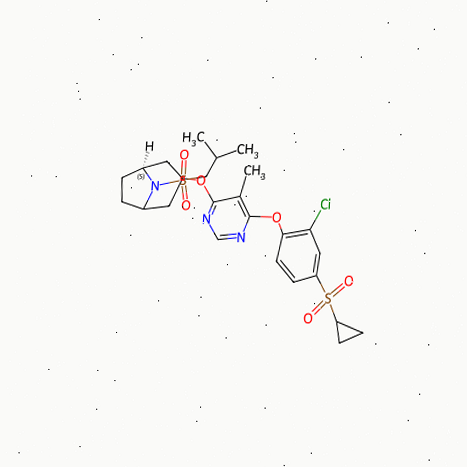 Cc1c(Oc2ccc(S(=O)(=O)C3CC3)cc2Cl)ncnc1OC1CC2CC[C@@H](C1)N2S(=O)(=O)CC(C)C